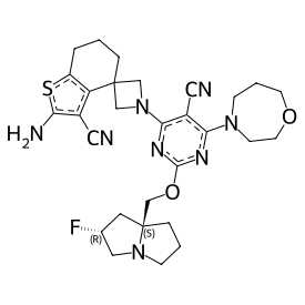 N#Cc1c(N2CCCOCC2)nc(OC[C@@]23CCCN2C[C@H](F)C3)nc1N1CC2(CCCc3sc(N)c(C#N)c32)C1